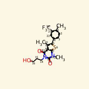 Cc1ccc(-c2sc3c(c2C)c(=O)n(CCCO)c(=O)n3C)cc1C(F)(F)F